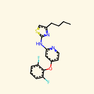 CCCCc1csc(Nc2cc(Oc3c(F)cccc3F)ccn2)n1